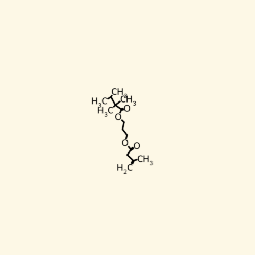 C=C(C)CC(=O)OCCCOC(=O)C(C)(C)C(C)C